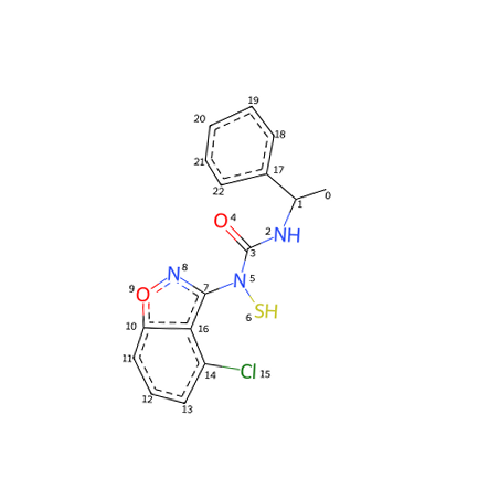 CC(NC(=O)N(S)c1noc2cccc(Cl)c12)c1ccccc1